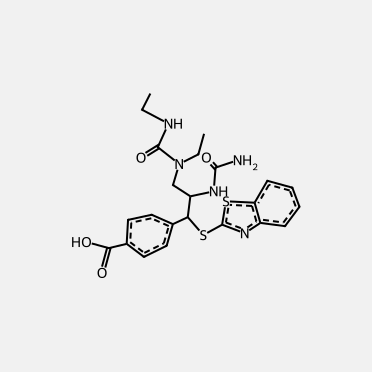 CCNC(=O)N(CC)CC(NC(N)=O)C(Sc1nc2ccccc2s1)c1ccc(C(=O)O)cc1